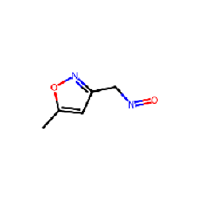 Cc1cc(CN=O)no1